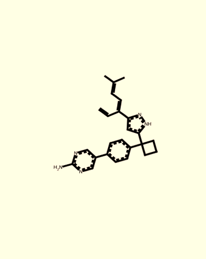 C=C/C(=C\C=C(C)C)c1cc(C2(c3ccc(-c4cnc(N)nc4)cc3)CCC2)[nH]n1